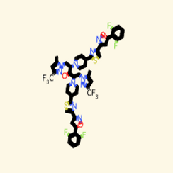 Cc1cc(C(F)(F)F)nn1CC(C(=O)C(Cn1nc(C(F)(F)F)cc1C)N1CCC(c2nc(C3=NOC(c4c(F)cccc4F)C3)cs2)CC1)N1CCC(c2nc(C3=NOC(c4c(F)cccc4F)C3)cs2)CC1